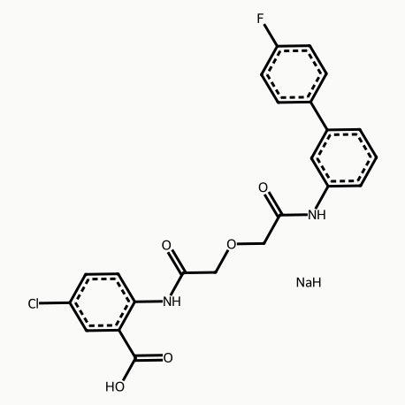 O=C(COCC(=O)Nc1ccc(Cl)cc1C(=O)O)Nc1cccc(-c2ccc(F)cc2)c1.[NaH]